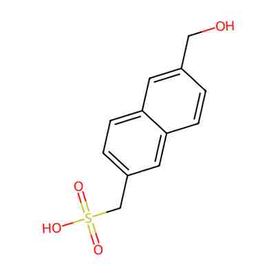 O=S(=O)(O)Cc1ccc2cc(CO)ccc2c1